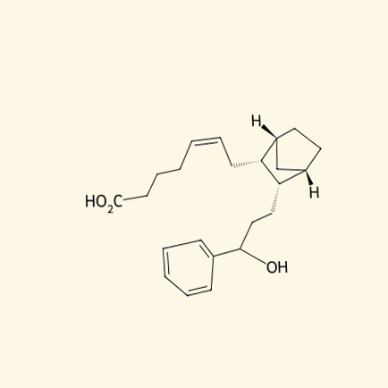 O=C(O)CCC/C=C\C[C@@H]1[C@@H]2CC[C@@H](C2)[C@@H]1CCC(O)c1ccccc1